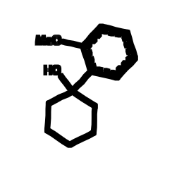 COc1ccccc1C1(O)CCCCC1